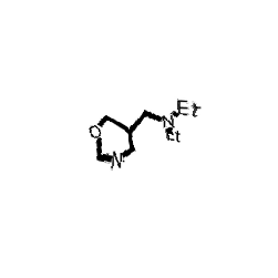 CCN(CC)CC1C[N]COC1